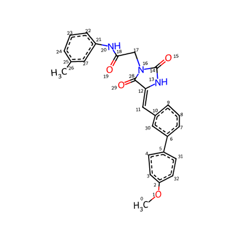 COc1ccc(-c2cccc(/C=C3\NC(=O)N(CC(=O)Nc4cccc(C)c4)C3=O)c2)cc1